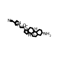 C[C@]12CC[C@H]3[C@@H](CCC4C[C@H](N)CC[C@@]43C)[C@@H]1CC[C@@H]2C(=O)Cn1cc(C#N)cn1